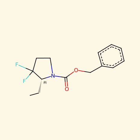 CC[C@H]1N(C(=O)OCc2ccccc2)CCC1(F)F